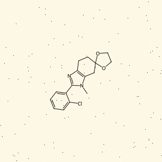 Cn1c(-c2ccccc2Cl)nc2c1CC1(CC2)OCCO1